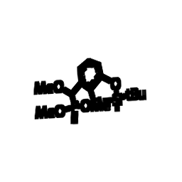 C=P(OC)(OC)C(OC)c1cccc(O[Si](C)(C)C(C)(C)C)c1Cl